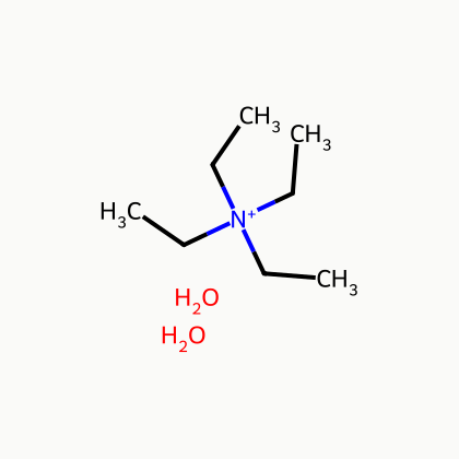 CC[N+](CC)(CC)CC.O.O